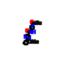 COc1ccccc1-c1ncc(C(=O)NC2CCN(C(=O)C(C)(C)C)CC2)cn1